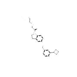 O=C(O)CCNCC(=O)N1CCc2cc(OCc3ccc(C(F)(F)F)c(C4CCC4)c3)ccc21